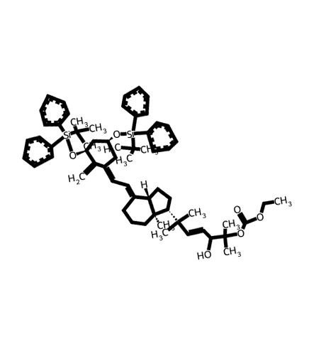 C=C1/C(=C/C=C2\CCC[C@]3(C)[C@@H](C(C)(C)/C=C/C(O)C(C)(C)OC(=O)OCC)CC[C@@H]23)C[C@@H](O[Si](c2ccccc2)(c2ccccc2)C(C)(C)C)C[C@@H]1O[Si](c1ccccc1)(c1ccccc1)C(C)(C)C